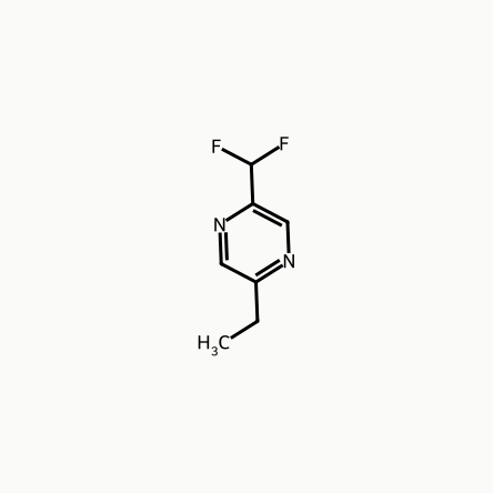 CCc1cnc(C(F)F)cn1